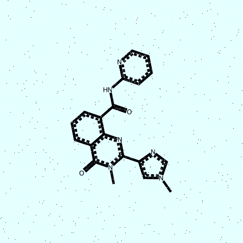 Cn1cnc(-c2nc3c(C(=O)Nc4ccccn4)cccc3c(=O)n2C)c1